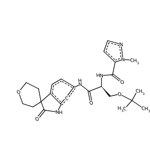 Cn1nccc1C(=O)N[C@@H](COC(C)(C)C)C(=O)Nc1ccc2c(c1)NC(=O)C21CCOCC1